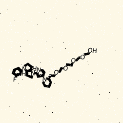 OCCOCCOCCOCCOCCC1CCCCN1c1ccnc(N2CC[C@@H]3[C@H]2CCCN3c2cccc(F)c2)c1